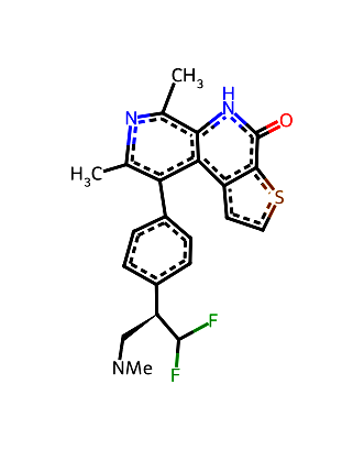 CNC[C@@H](c1ccc(-c2c(C)nc(C)c3[nH]c(=O)c4sccc4c23)cc1)C(F)F